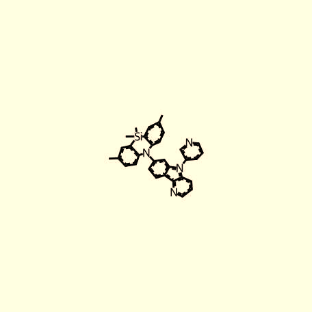 Cc1ccc2c(c1)[Si](C)(C)c1cc(C)ccc1N2c1ccc2c3ncccc3n(-c3cccnc3)c2c1